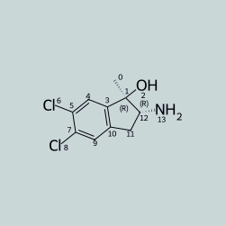 C[C@@]1(O)c2cc(Cl)c(Cl)cc2C[C@H]1N